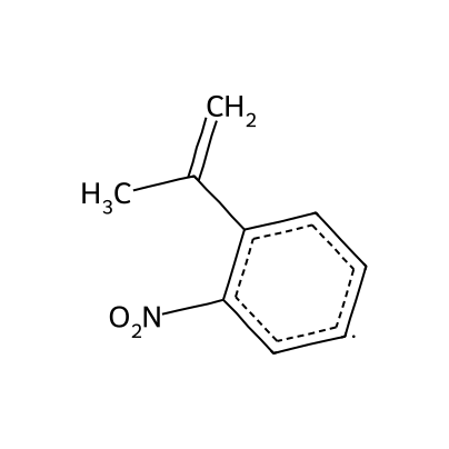 C=C(C)c1cc[c]cc1[N+](=O)[O-]